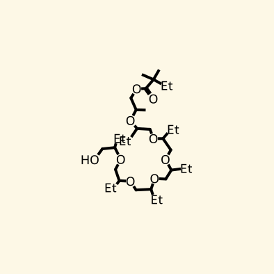 CCC(CO)OCC(CC)OCC(CC)OCC(CC)OCC(CC)OCC(CC)OC(C)COC(=O)C(C)(C)CC